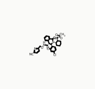 CS(=O)(=O)N[C@H]1CCCC[C@@H]1N1C(=O)c2ccccc2[C@@H](C(=O)NOCc2ccc(C#N)cn2)[C@@H]1c1ccc(Cl)cc1Cl